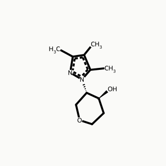 Cc1nn([C@H]2COCC[C@@H]2O)c(C)c1C